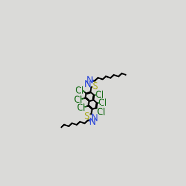 CCCCCCCCc1nnc(-c2c(Cl)c(Cl)c3c(Cl)c(-c4nnc(CCCCCCC)s4)c(Cl)c(Cl)c3c2Cl)s1